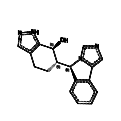 O[C@@H]1c2[nH]ncc2CC[C@H]1[C@@H]1c2ccccc2-c2cncn21